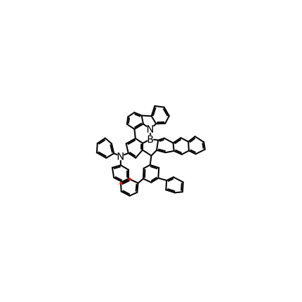 c1ccc(-c2cc(-c3ccccc3)cc(C3c4cc5cc6ccccc6cc5cc4B4c5c(cc(N(c6ccccc6)c6ccccc6)cc53)-c3cccc5c6ccccc6n4c35)c2)cc1